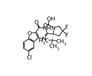 CC(C)(C)[C@@]1(c2nc3c(oc4ccc(Cl)cc43)c(=O)[nH]2)CC(F)(F)CN1C(=O)O